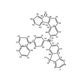 CC1(C)c2ccccc2-c2ccc(N(c3ccc(-c4cccc5ccccc45)cc3)c3ccc4ccc5oc6ccccc6c5c4c3)cc21